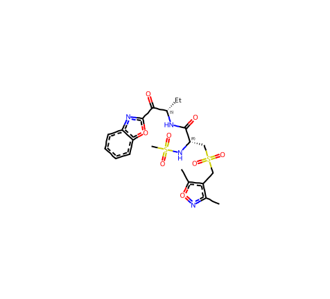 CC[C@H](NC(=O)[C@H](CS(=O)(=O)Cc1c(C)noc1C)NS(C)(=O)=O)C(=O)c1nc2ccccc2o1